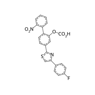 O=C(O)Oc1cc(-c2nc(-c3ccc(F)cc3)cs2)ccc1-c1ccccc1[N+](=O)[O-]